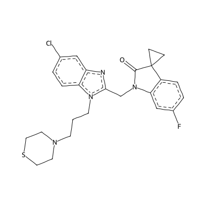 O=C1N(Cc2nc3cc(Cl)ccc3n2CCCN2CCSCC2)c2cc(F)ccc2C12CC2